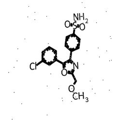 COCc1nc(-c2ccc(S(N)(=O)=O)cc2)c(-c2cccc(Cl)c2)o1